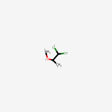 CC(O[SiH3])C(Cl)Cl